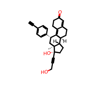 C#Cc1ccc([C@H]2C[C@@]3(C)[C@@H](CC[C@@]3(O)C#CCO)[C@@H]3CCC4=CC(=O)CCC4=C32)cc1